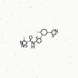 Cc1ccc(-c2cncs2)cc1-c1ccc(NC(=O)c2snnc2C)s1